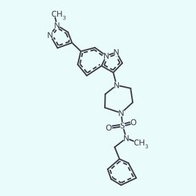 CN(Cc1ccccc1)S(=O)(=O)N1CCN(c2cnn3cc(-c4cnn(C)c4)ccc23)CC1